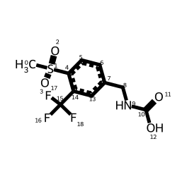 CS(=O)(=O)c1ccc(CNC(=O)O)cc1C(F)(F)F